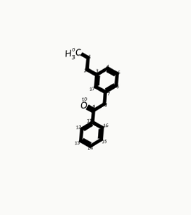 CCCc1cccc(CC(=O)c2ccccc2)c1